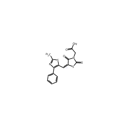 Cc1nc(-c2ccccc2)c(/C=C2/SC(=S)N(CC(=O)O)C2=O)s1